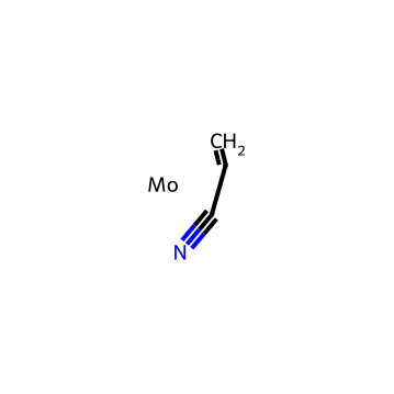 C=CC#N.[Mo]